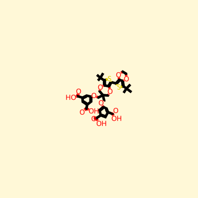 CC(C)(C)c1sc(-c2sc(C(C)(C)C)c3c2OCC(COc2cc(C(=O)O)cc(C(=O)O)c2)(COc2cc(C(=O)O)cc(C(=O)O)c2)CO3)c2c1OCCO2